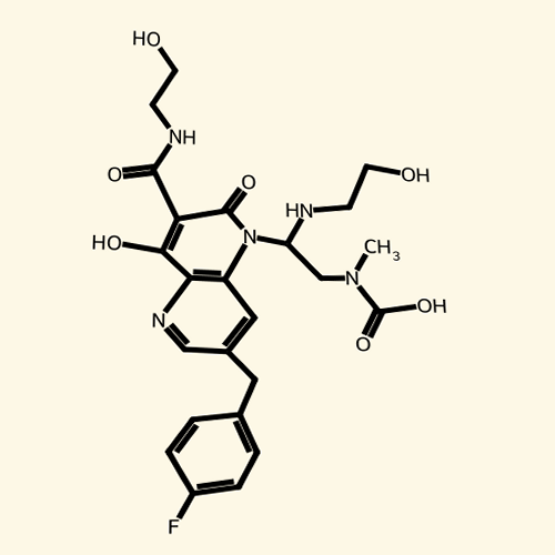 CN(CC(NCCO)n1c(=O)c(C(=O)NCCO)c(O)c2ncc(Cc3ccc(F)cc3)cc21)C(=O)O